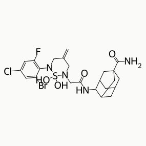 C=C1CN(CC(=O)NC2C3CC4CC2CC(C(N)=O)(C4)C3)S(O)(O)N(c2c(F)cc(Cl)cc2Br)C1